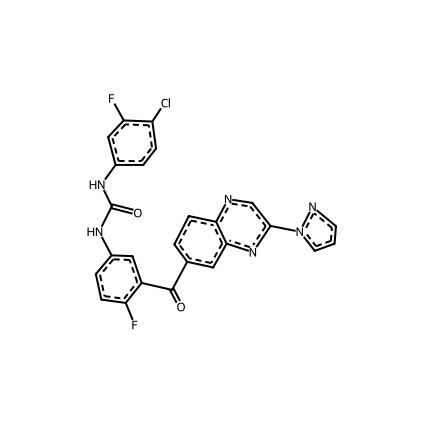 O=C(Nc1ccc(Cl)c(F)c1)Nc1ccc(F)c(C(=O)c2ccc3ncc(-n4cccn4)nc3c2)c1